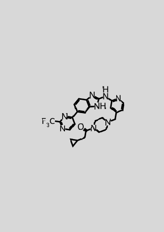 O=C(CC1CC1)N1CCN(Cc2ccnc(Nc3nc4ccc(-c5ccnc(C(F)(F)F)n5)cc4[nH]3)c2)CC1